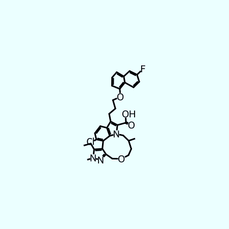 CCc1c2c(nn1C)COCCC(C)Cn1c(C(=O)O)c(CCCOc3cccc4cc(F)ccc34)c3ccc(Cl)c-2c31